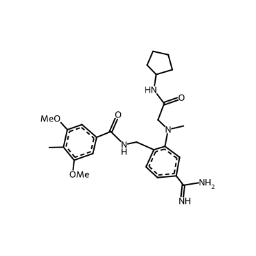 COc1cc(C(=O)NCc2ccc(C(=N)N)cc2N(C)CC(=O)NC2CCCC2)cc(OC)c1C